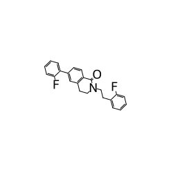 O=C1c2ccc(-c3ccccc3F)cc2CCN1CCc1ccccc1F